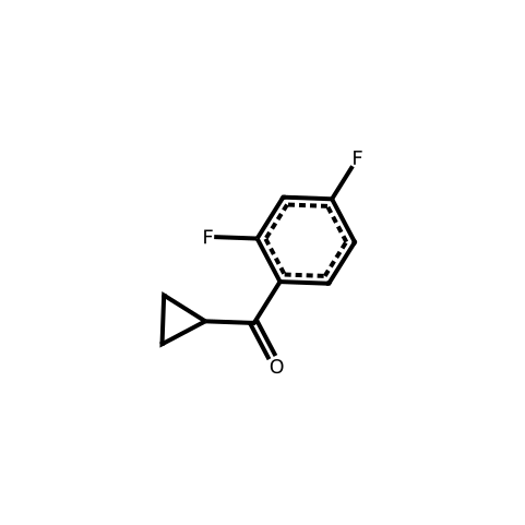 O=C(c1ccc(F)cc1F)C1CC1